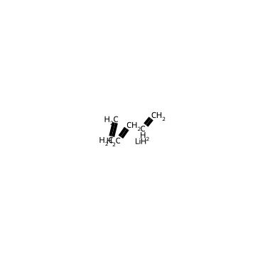 C=C.C=C.C=C.[LiH]